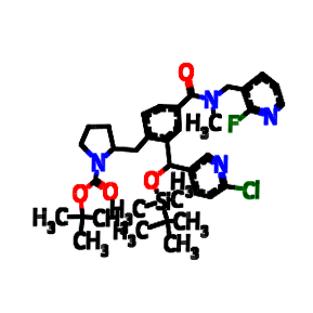 CN(Cc1cccnc1F)C(=O)c1ccc(CC2CCCN2C(=O)OC(C)(C)C)c(C(O[Si](C)(C)C(C)(C)C)c2ccc(Cl)nc2)c1